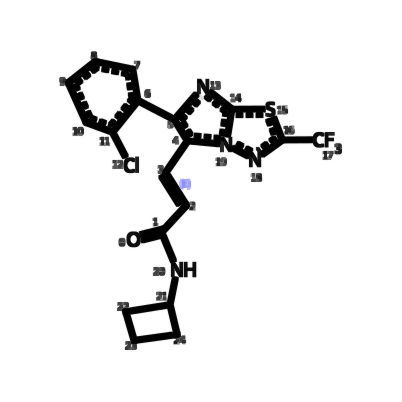 O=C(/C=C/c1c(-c2ccccc2Cl)nc2sc(C(F)(F)F)nn12)NC1CCC1